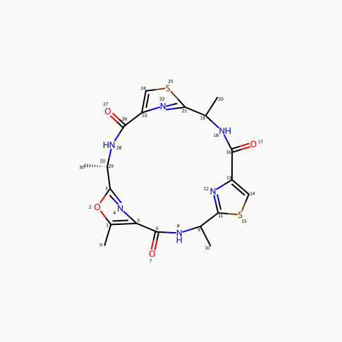 Cc1oc2nc1C(=O)NC(C)c1nc(cs1)C(=O)NC(C)c1nc(cs1)C(=O)N[C@H]2C